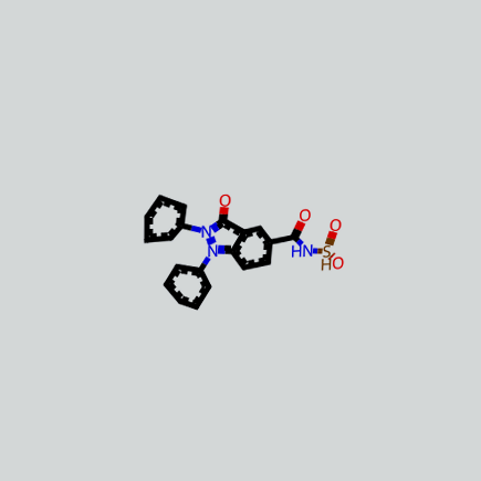 O=C(N[SH](=O)=O)c1ccc2c(c1)c(=O)n(-c1ccccc1)n2-c1ccccc1